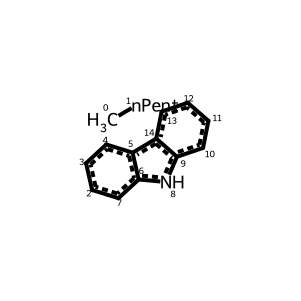 CCCCCC.c1ccc2c(c1)[nH]c1ccccc12